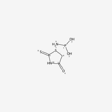 NP(O)O.O=C1CSC(=S)N1